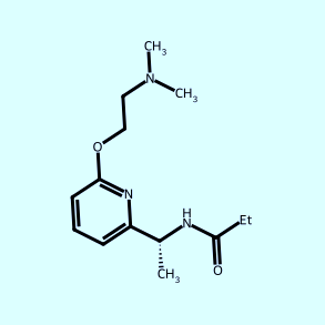 CCC(=O)N[C@H](C)c1cccc(OCCN(C)C)n1